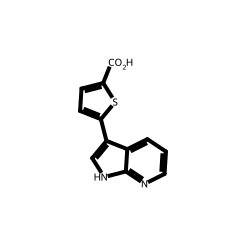 O=C(O)c1ccc(-c2c[nH]c3ncccc23)s1